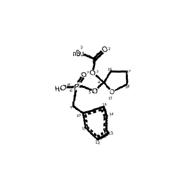 CCCCC(=O)OC1(OP(=O)(O)Cc2ccccc2)CCCO1